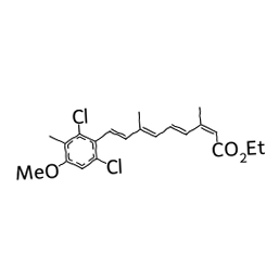 CCOC(=O)\C=C(C)/C=C/C=C(C)/C=C/c1c(Cl)cc(OC)c(C)c1Cl